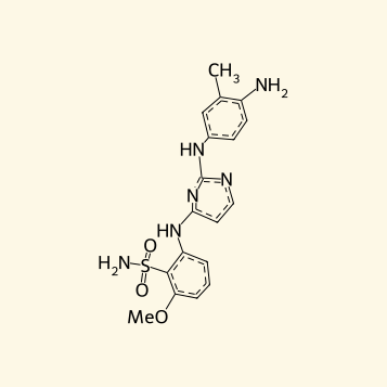 COc1cccc(Nc2ccnc(Nc3ccc(N)c(C)c3)n2)c1S(N)(=O)=O